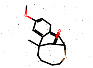 COC1=CCC2=CC3SCCCCC(C)(CC3=O)C2=C1